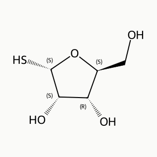 OC[C@@H]1O[C@@H](S)[C@@H](O)[C@H]1O